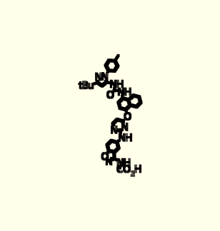 Cc1ccc(-n2nc(C(C)(C)C)cc2NC(=O)Nc2ccc(Oc3ccnc(Nc4ccc5onc(NC(=O)O)c5c4)n3)c3ccccc23)cc1